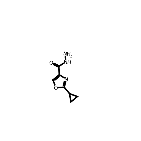 NNC(=O)c1coc(C2CC2)n1